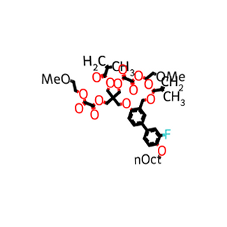 C=C(C)C(=O)OCc1cc(-c2ccc(OCCCCCCCC)c(F)c2)ccc1OCC(COC(=O)C(=C)C)(COC(=O)C(=O)OCCOC)COC(=O)C(=O)OCCOC